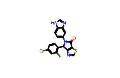 O=C1c2scnc2C(c2ccc(Cl)cc2F)N1c1ccc2[nH]cnc2c1